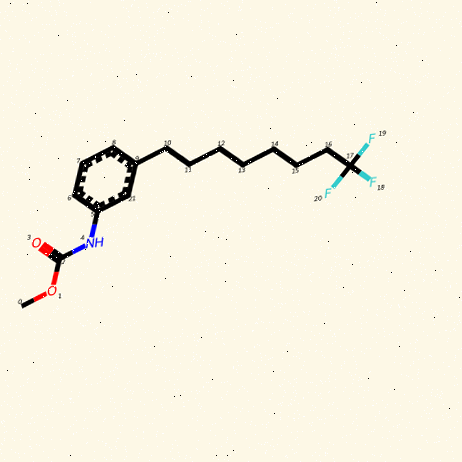 COC(=O)Nc1cccc(CCCCCCCC(F)(F)F)c1